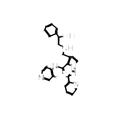 OC(CNCc1ccn2nc(-c3ccccn3)nc(Nc3ccncc3F)c12)c1ccccc1